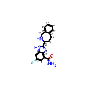 NC(=O)c1cc(F)cc2[nH]c(C3CCc4ccccc4CN3)nc12